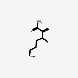 C=C(C(N)=O)C(I)CCCCCCCCC